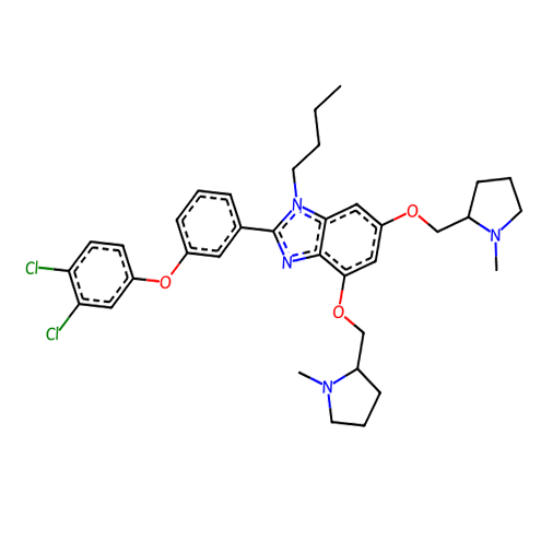 CCCCn1c(-c2cccc(Oc3ccc(Cl)c(Cl)c3)c2)nc2c(OCC3CCCN3C)cc(OCC3CCCN3C)cc21